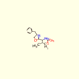 CC(C)[C@H](NC(=O)O)C1=NC(Cc2ccccc2)CO1